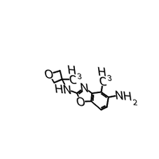 Cc1c(N)ccc2oc(NC3(C)COC3)nc12